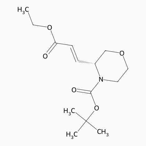 CCOC(=O)C=C[C@@H]1COCCN1C(=O)OC(C)(C)C